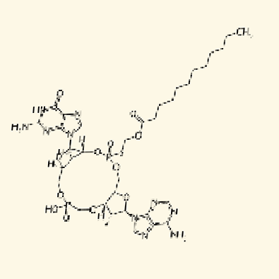 CCCCCCCCCCCC(=O)OCSP1(=O)OCC2O[C@@H](n3cnc4c(N)ncnc43)[C@H](F)[C@@H]2OCP(=O)(O)OC[C@H]2O[C@@H](n3cnc4c(=O)[nH]c(N)nc43)[C@H](O1)[C@@H]2F